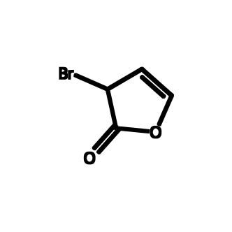 O=C1OC=CC1Br